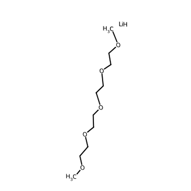 COCCOCCOCCOCCOC.[LiH]